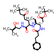 CC=C(NC(CCC(=O)CC(C)(C)C)C(=O)NCC(O)=C(C)C)[C@H](CC(=O)OC(C)(C)C)NC(=O)CCc1ccccc1